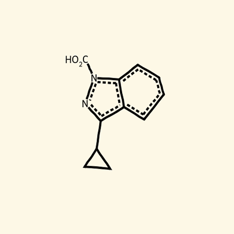 O=C(O)n1nc(C2CC2)c2ccccc21